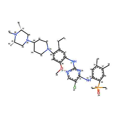 CCc1cc(Nc2ncc(Cl)c(Nc3cc(C)c(C)cc3P(C)(C)=O)n2)c(OC)cc1N1CCC(N2C[C@@H](C)N(C)[C@@H](C)C2)CC1